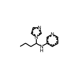 CCCC(Nc1cccnc1)n1ccnc1